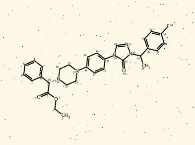 CCOC(=O)[C@H](c1ccccc1)N1CCN(c2ccc(-n3cnn(C(C)c4ccc(F)cc4)c3=O)cc2)CC1